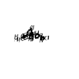 CC(C)(C)OC(=O)N1CC=C(Cl)C=c2[nH]c3c(c21)CN=NC=3[C@H]1CC[C@H](Oc2cncc(Cl)c2)CC1